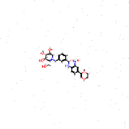 O=[N+]([O-])c1cc(C2=COCCO2)ccc1NCc1cccc(CN2C[C@H](O)[C@@H](O)[C@H](O)[C@H]2CO)c1